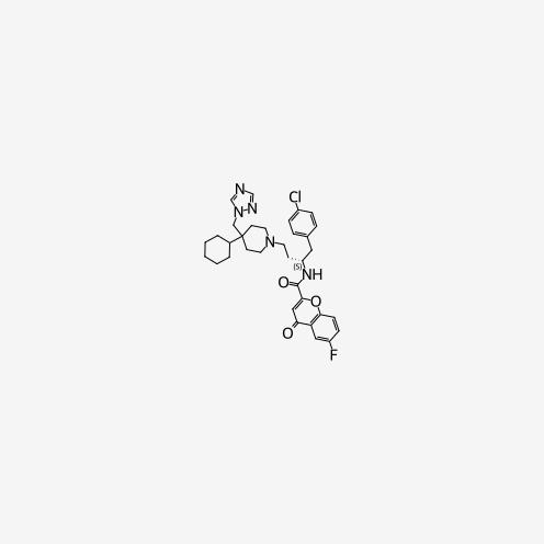 O=C(N[C@H](CCN1CCC(Cn2cncn2)(C2CCCCC2)CC1)Cc1ccc(Cl)cc1)c1cc(=O)c2cc(F)ccc2o1